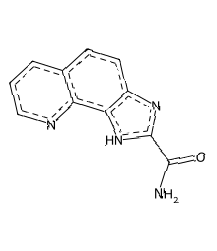 NC(=O)c1nc2ccc3cccnc3c2[nH]1